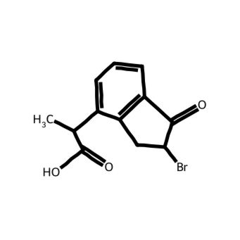 CC(C(=O)O)c1cccc2c1CC(Br)C2=O